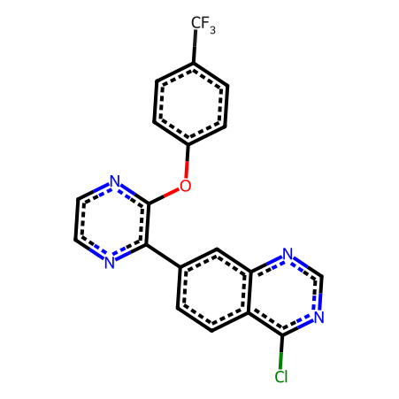 FC(F)(F)c1ccc(Oc2nccnc2-c2ccc3c(Cl)ncnc3c2)cc1